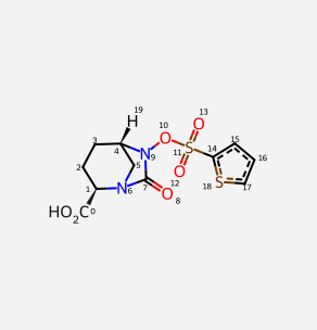 O=C(O)[C@H]1CC[C@H]2CN1C(=O)N2OS(=O)(=O)c1cccs1